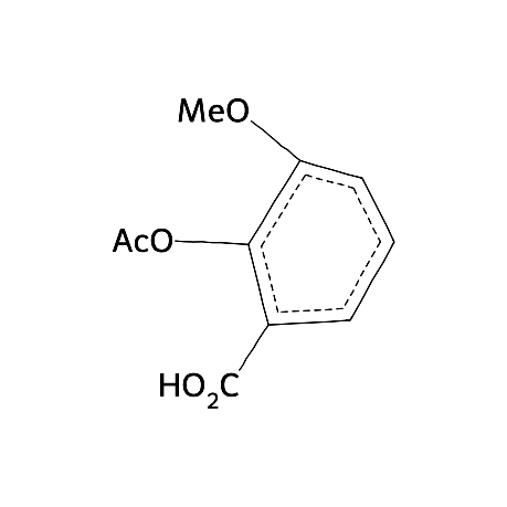 COc1cccc(C(=O)O)c1OC(C)=O